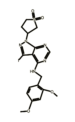 COc1ccc(CNc2ncnc3c2c(I)nn3C2CCS(=O)(=O)C2)c(OC)c1